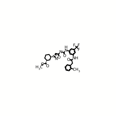 COC(=O)[C@H]1CCC[C@@H]([n+]2cc([N-]C(=O)Nc3cc(NC(=O)Cc4ccccc4C)cc(C(F)(F)F)c3)on2)C1